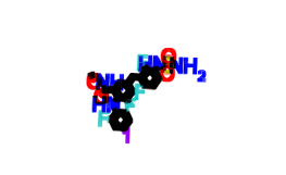 CONC(=O)c1cc(Cc2cccc(NS(N)(=O)=O)c2F)c(F)c(F)c1Nc1ccc(I)cc1F